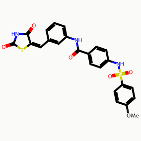 COc1ccc(S(=O)(=O)Nc2ccc(C(=O)Nc3cccc(C=C4SC(=O)NC4=O)c3)cc2)cc1